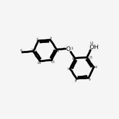 Cc1ccc(Oc2ccccc2O)cc1